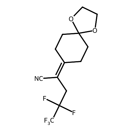 N#CC(CC(F)(F)C(F)(F)F)=C1CCC2(CC1)OCCO2